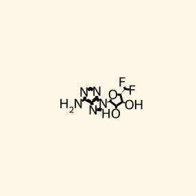 Nc1ncnc2c1ncn2[C@@H]1O[C@H](C(F)F)[C@@H](O)C1O